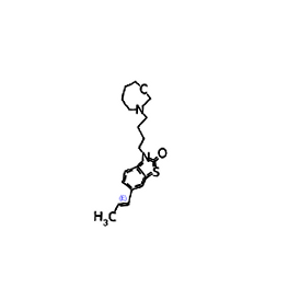 C/C=C/c1ccc2c(c1)sc(=O)n2CCCCN1CCCCCC1